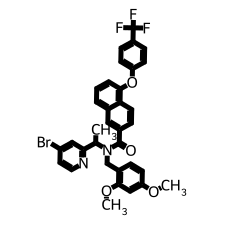 COc1ccc(CN(C(=O)c2ccc3c(Oc4ccc(C(F)(F)F)cc4)cccc3c2)C(C)c2cc(Br)ccn2)c(OC)c1